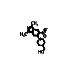 Cc1nn(C)c2cc(N3CCC(CO)CC3)c([N+](=O)[O-])cc12